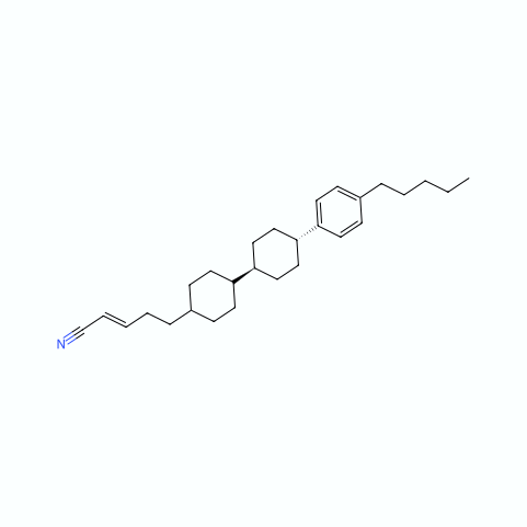 CCCCCc1ccc([C@H]2CC[C@H](C3CCC(CC/C=C/C#N)CC3)CC2)cc1